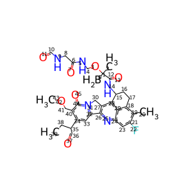 BC(C)(OCNC(=O)CNC=O)C(=O)NC1CCc2c(C)c(F)cc3nc4c(c1c23)Cn1c-4cc(C(C=O)CC)c(COC)c1=O